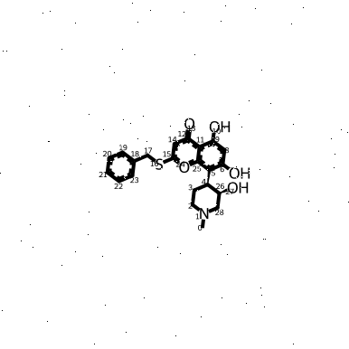 CN1CC[C@@H](c2c(O)cc(O)c3c(=O)cc(SCc4ccccc4)oc23)[C@@H](O)C1